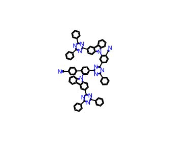 N#Cc1ccc(-c2ccc(-c3nc(-c4ccccc4)nc(-c4ccc(C#N)c(-n5c6ccccc6c6cc(-c7nc(-c8ccccc8)nc(-c8ccccc8)n7)ccc65)c4)n3)cc2-n2c3ccccc3c3cc(-c4nc(-c5ccccc5)nc(-c5ccccc5)n4)ccc32)cc1